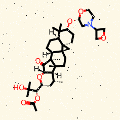 CC(=O)O[C@@H]([C@H]1C[C@@H](C)[C@H]2[C@H](O1)C(=O)[C@@]1(C)[C@@H]3CC[C@H]4C(C)(C)[C@@H](O[C@H]5CN(C6COC6)CCO5)CC[C@@]45C[C@@]35CC[C@]21C)C(C)(C)O